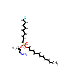 C=CCN.CCCCCCCCCCCOS(=O)(=O)CCCCCCCCCF